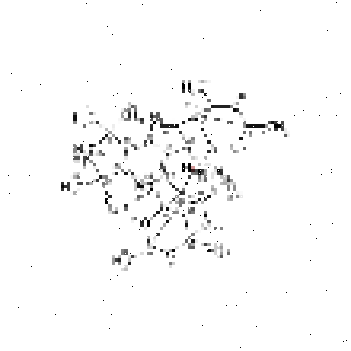 CC12CC3(C)OC(C)(CC(C)(O1)C3(CP)c1cc(C(C)(C)C)c(C(C)(C)C)cc1C1(CP)C3(C)CC4(C)OC(C)(CC1(C)O4)O3)O2